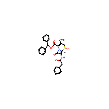 COC1=C(C(=O)OC(c2ccccc2)c2ccccc2)N2C(=O)[C@@H](NC(=O)Cc3ccccc3)[C@@H]2[S+]([O-])C1